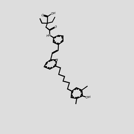 CCC(CC)(CC(=O)Nc1cccc(/C=C/c2cccc(CCCCCCc3cc(C)c(O)c(C)c3)n2)c1)C(=O)O